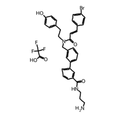 NCCCNC(=O)c1cccc(-c2cccc(CN(CCc3ccc(O)cc3)C(=O)C=Cc3ccc(Br)cc3)c2)c1.O=C(O)C(F)(F)F